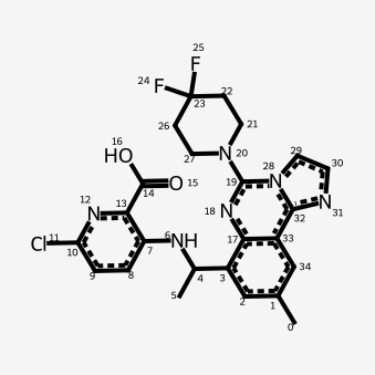 Cc1cc(C(C)Nc2ccc(Cl)nc2C(=O)O)c2nc(N3CCC(F)(F)CC3)n3ccnc3c2c1